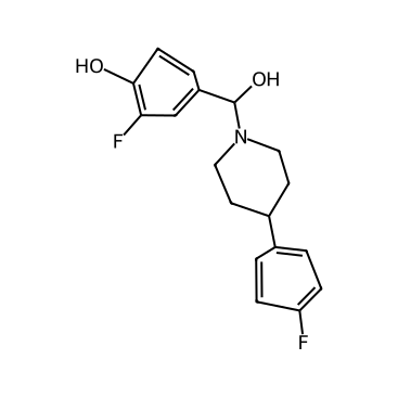 Oc1ccc(C(O)N2CCC(c3ccc(F)cc3)CC2)cc1F